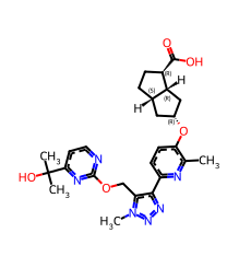 Cc1nc(-c2nnn(C)c2COc2nccc(C(C)(C)O)n2)ccc1O[C@@H]1C[C@@H]2CC[C@@H](C(=O)O)[C@@H]2C1